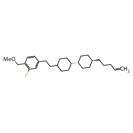 C=CCCC[C@H]1CC[C@H](C2CCC(CCc3ccc(COC)c(F)c3)CC2)CC1